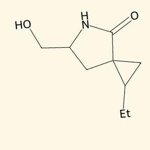 CCC1CC12CC(CO)NC2=O